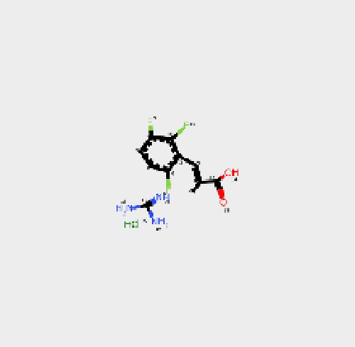 CC(=Cc1c(F)ccc(F)c1F)C(=O)O.Cl.N=C(N)N